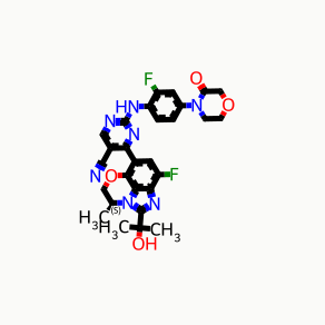 C[C@H]1COc2c(-c3nc(Nc4ccc(N5CCOCC5=O)cc4F)ncc3C#N)cc(F)c3nc(C(C)(C)O)n1c23